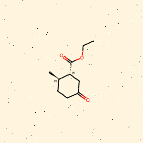 CCOC(=O)[C@@H]1CC(=O)CC[C@H]1C